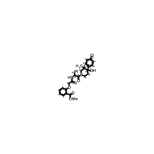 COC(=O)c1ccccc1OCC(=O)NC(C(=O)N1CCC(O)(c2ccc(Cl)cc2)C(C)(C)C1)C(C)C